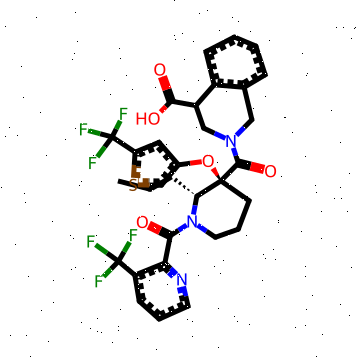 CCC[C@H]1N(C(=O)c2ncccc2C(F)(F)F)CCC[C@@]1(Oc1csc(C(F)(F)F)c1)C(=O)N1Cc2ccccc2C(C(=O)O)C1